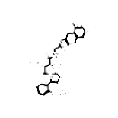 COc1ccccc1C1CCCN1C(=O)[C@H](OC(C)=O)[C@@H](OC(C)=O)C(=O)NCc1nc(Cc2c(C)cccc2C)cs1